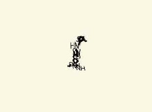 CCOc1nc(NC)nc2ccc(/C=C3/SC(NCc4sccc4C)=NC3=O)cc12